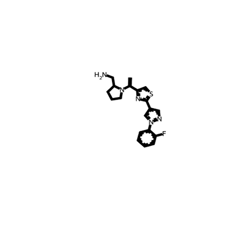 C=C(c1csc(-c2cnn(-c3ccccc3F)c2)n1)N1CCCC1CN